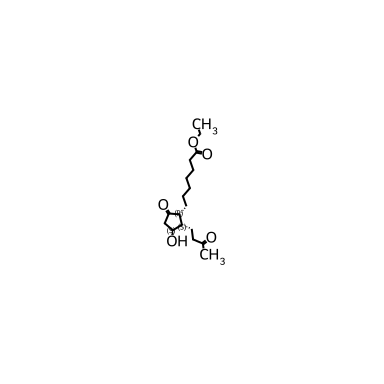 CCOC(=O)CCCCCC[C@H]1C(=O)C[C@H](O)[C@H]1CCC(C)=O